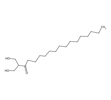 CCCCCCCCCCCCCCCC(=O)C(CO)CO